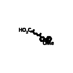 COc1ccc(/C(C)=C/C=C/C(C)=C/C(=O)O)cc1C12CC3CC(CC(C3)C1)C2